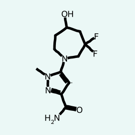 Cn1nc(C(N)=O)[c]c1N1CCC(O)CC(F)(F)C1